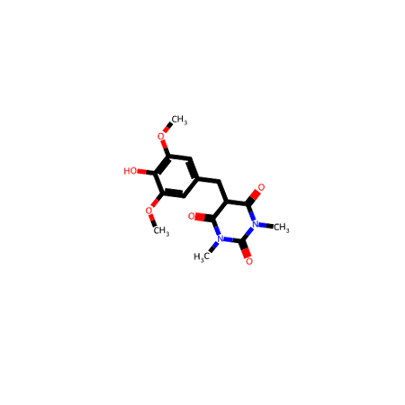 COc1cc(CC2C(=O)N(C)C(=O)N(C)C2=O)cc(OC)c1O